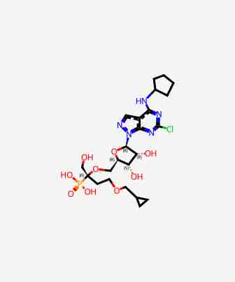 O=P(O)(O)[C@@](CO)(CCOCC1CC1)OC[C@H]1O[C@@H](n2ncc3c(NC4CCCC4)nc(Cl)nc32)[C@H](O)[C@@H]1O